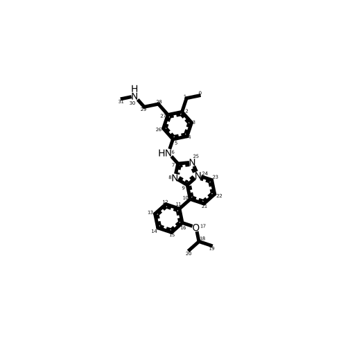 CCc1ccc(Nc2nc3c(-c4ccccc4OC(C)C)cccn3n2)cc1CCNC